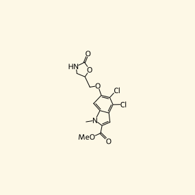 COC(=O)c1cc2c(Cl)c(Cl)c(OCC3CNC(=O)O3)cc2n1C